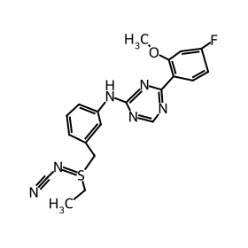 CCS(Cc1cccc(Nc2ncnc(-c3ccc(F)cc3OC)n2)c1)=NC#N